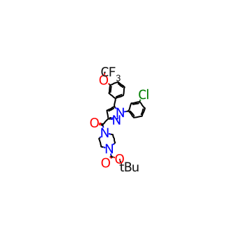 CC(C)(C)OC(=O)N1CCN(C(=O)c2cc(-c3cccc(OC(F)(F)F)c3)n(-c3cccc(Cl)c3)n2)CC1